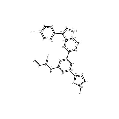 C=CC(=O)Nc1cc(-c2cnc3[nH]cc(-c4ccc(F)cn4)c3c2)cc(-c2cnn(C)c2)n1